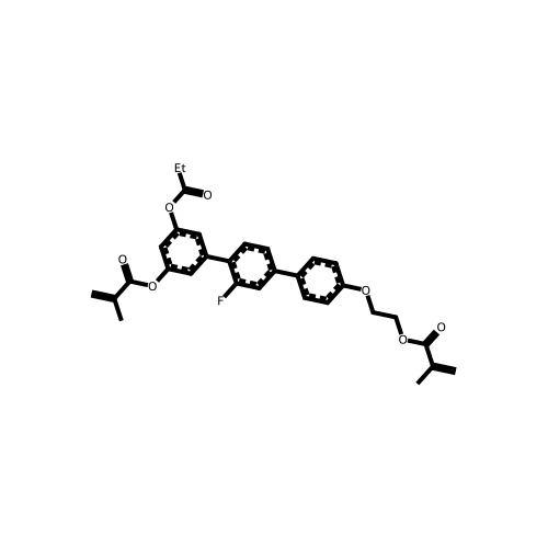 C=C(C)C(=O)OCCOc1ccc(-c2ccc(-c3cc(OC(=O)CC)cc(OC(=O)C(=C)C)c3)c(F)c2)cc1